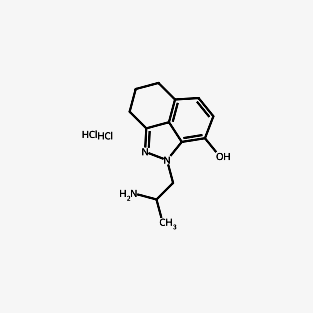 CC(N)Cn1nc2c3c(ccc(O)c31)CCC2.Cl.Cl